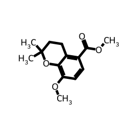 COC(=O)c1ccc(OC)c2c1CCC(C)(C)O2